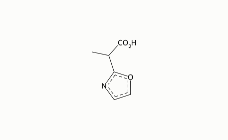 CC(C(=O)O)c1ncco1